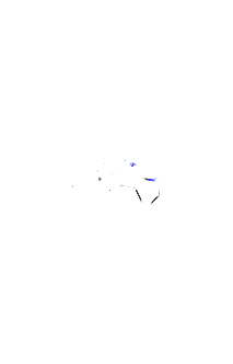 C#N.COC1(OC)CC(c2cccnc2)C1